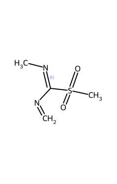 C=N/C(=N\C)S(C)(=O)=O